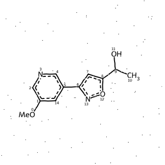 COc1cncc(-c2cc(C(C)O)on2)c1